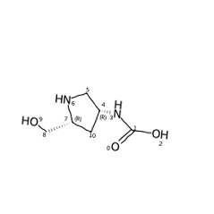 O=C(O)N[C@H]1CN[C@@H](CO)C1